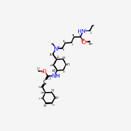 CCNC(CCCCN(C)CC1CCCC(NC(=C=CC2CCCCC2)OC)C1)OC